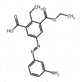 CCOC(=O)c1cc(N=Nc2cccc(N)c2)cc(C(=O)O)c1CC